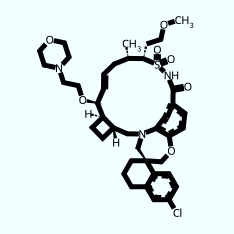 COCC[C@H]1[C@@H](C)C/C=C/[C@H](OCCN2CCOCC2)[C@@H]2CC[C@H]2CN2C[C@@]3(CCCc4cc(Cl)ccc43)COc3ccc(cc32)C(=O)NS1(=O)=O